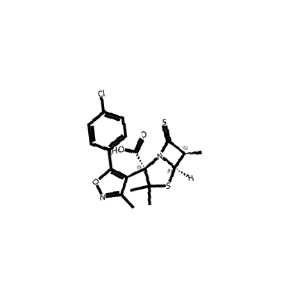 Cc1noc(-c2ccc(Cl)cc2)c1[C@@]1(C(=O)O)N2C(=S)[C@@H](C)[C@H]2SC1(C)C